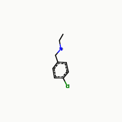 CC[N]Cc1ccc(Cl)cc1